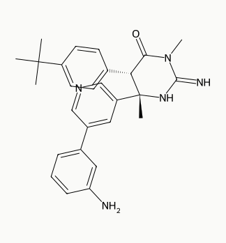 CN1C(=N)N[C@](C)(c2cncc(-c3cccc(N)c3)c2)[C@H](c2ccc(C(C)(C)C)cc2)C1=O